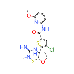 COc1cccc(NC(=O)c2cc(Cl)c(C34CCOC3SN(C)C(=N)N4)s2)n1